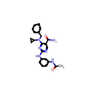 CC(=O)Nc1cccc(Nc2ncc(C(N)=O)c(N(Cc3ccccc3)C3CC3)n2)c1